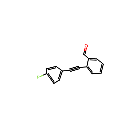 O=Cc1ccccc1C#Cc1ccc(F)cc1